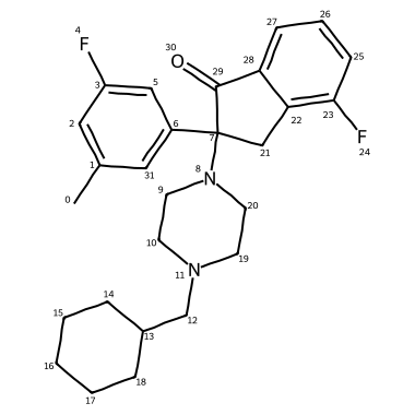 Cc1cc(F)cc(C2(N3CCN(CC4CCCCC4)CC3)Cc3c(F)cccc3C2=O)c1